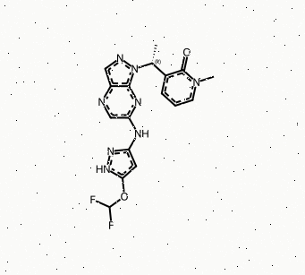 C[C@H](c1cccn(C)c1=O)n1ncc2ncc(Nc3cc(OC(F)F)[nH]n3)nc21